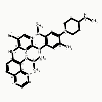 CNC1CCN(c2cc(OC)c(Nc3ncc(Br)c(Nc4ccc5nccnc5c4OP(C)C)n3)cc2C)CC1